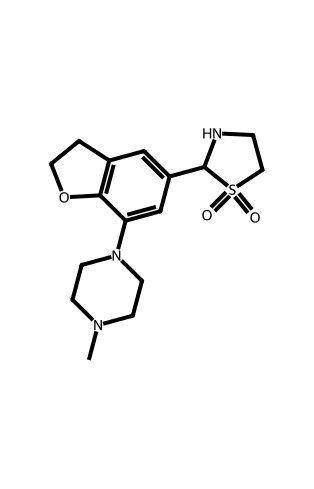 CN1CCN(c2cc(C3NCCS3(=O)=O)cc3c2OCC3)CC1